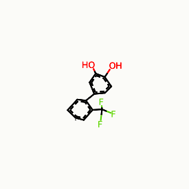 Oc1ccc(-c2cc[c]cc2C(F)(F)F)cc1O